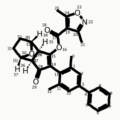 Cc1cc(-c2ccccc2)cc(C)c1C1=C(OC(=O)c2c(C)noc2C)[C@H]2[C@@H](C1=O)[C@@H]1CC[C@H]2O1